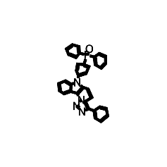 O=P(c1ccccc1)(c1ccccc1)c1ccc(-n2c3ccccc3c3c2ccc2c(-c4ccccc4)nnn23)cc1